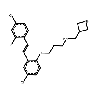 Clc1ccc(/C=C/c2cc(Cl)ccc2OCCCNCC2CNC2)c(Br)c1